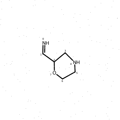 N=[C]C1CNCCO1